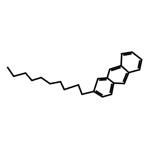 CCCCCCCCCCc1ccc2cc3ccc[c]c3cc2c1